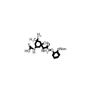 CCCCCCCCCc1ccccc1OSC(=O)C(N)C1(C)CC(NC(O)=S)CC(C)(C)C1